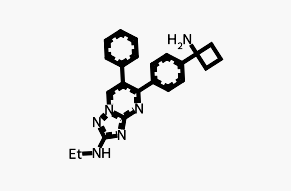 CCNc1nc2nc(-c3ccc(C4(N)CCC4)cc3)c(-c3ccccc3)cn2n1